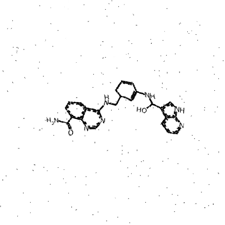 NC(=O)c1cccc2c(NCC3C=C(NC(O)c4c[nH]c5ncccc45)C=CC3)ncnc12